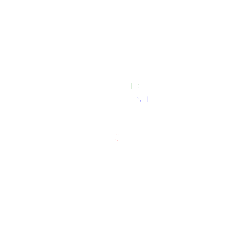 CCOCC.CNC.Cl